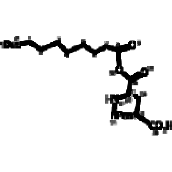 CCCCCCCCCCCCCCCCCC(=O)OC(=O)[C@H](CCC(=O)O)NCCCCC